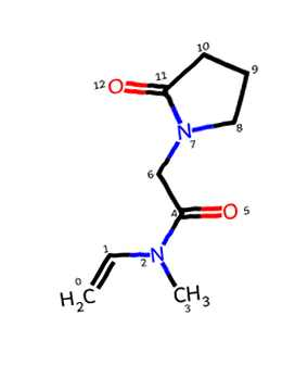 C=CN(C)C(=O)CN1CCCC1=O